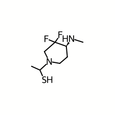 CN[C@H]1CCN(C(C)S)CC1(F)F